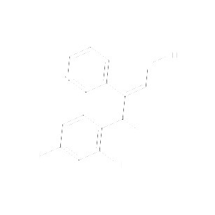 CO/C=C(\c1cccnc1)C(C)c1ccc(Cl)cc1Cl